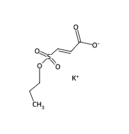 CCCOS(=O)(=O)C=CC(=O)[O-].[K+]